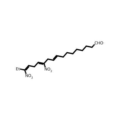 CC/C(=C/C/C=C(/C/C=C/CCCCCCC[C]=O)[N+](=O)[O-])[N+](=O)[O-]